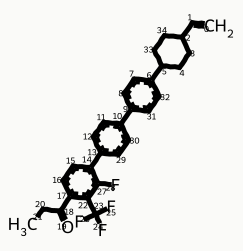 C=CC1CCC(c2ccc(-c3ccc(-c4ccc(C(=O)CC)c(C(F)(F)F)c4F)cc3)cc2)CC1